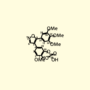 COc1ccc(-c2cnoc2-c2cc(OC)c(OC)c(OC)c2)cc1OP(=O)(O)O